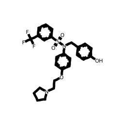 O=S(=O)(c1cccc(C(F)(F)F)c1)N(Cc1ccc(O)cc1)c1ccc(OCCN2CCCC2)cc1